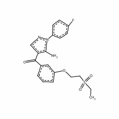 CCS(=O)(=O)CCOc1cccc(C(=O)c2cnn(-c3ccc(F)cc3)c2N)c1